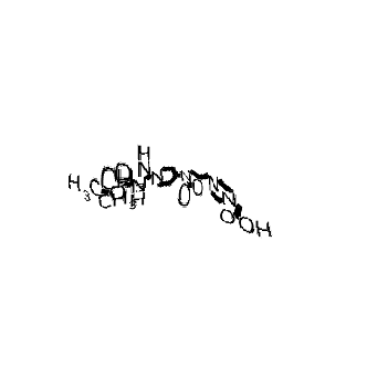 CC(C)(C)OC(=O)NC(=N)N1CCC(N2CC(CN3CCN(CC(=O)O)CC3)OC2=O)CC1